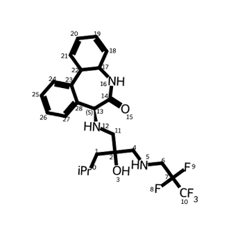 CC(C)CC(O)(CNCC(F)(F)C(F)(F)F)CN[C@@H]1C(=O)NC2C=CC=CC2c2ccccc21